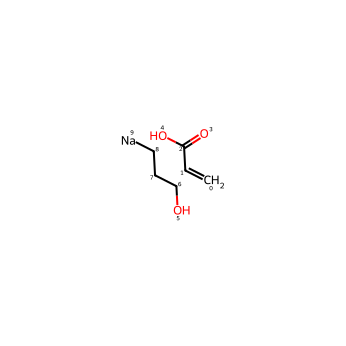 C=CC(=O)O.OCC[CH2][Na]